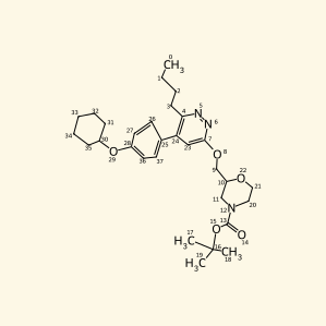 CCCCc1nnc(OCC2CN(C(=O)OC(C)(C)C)CCO2)cc1-c1ccc(OC2CCCCC2)cc1